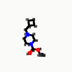 CC(C)(C)OC(=O)N1CCN(CC2CCC2)CC1